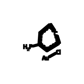 Pc1ccccc1.[Cl][Au]